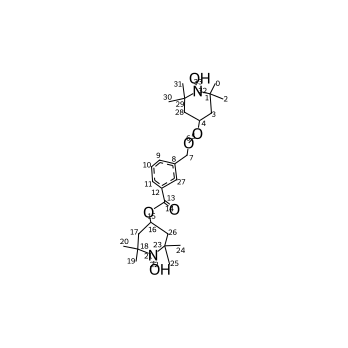 CC1(C)CC(OOCc2cccc(C(=O)OC3CC(C)(C)N(O)C(C)(C)C3)c2)CC(C)(C)N1O